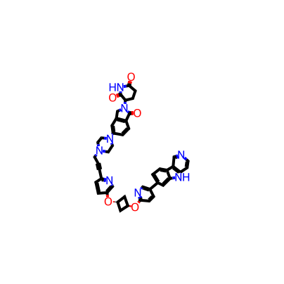 O=C1CCC(N2Cc3cc(N4CCN(CC#Cc5ccc(O[C@H]6C[C@H](Oc7ccc(-c8ccc9c(c8)[nH]c8ccncc89)cn7)C6)cn5)CC4)ccc3C2=O)C(=O)N1